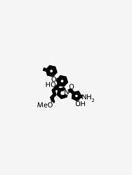 COCCCCC(O)(c1ccccc1Oc1cccc(C)c1)C1CCCN(C(=O)C2CC(N)C(O)C2)C1